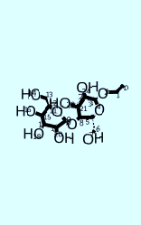 CCO[C@@H]1O[C@H](CO)C(OC2O[C@H](CO)C(O)[C@H](O)C2O)C(O)C1O